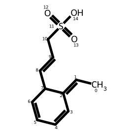 CC=C1C=CC=CC1C=CCS(=O)(=O)O